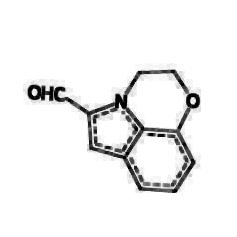 O=Cc1cc2cccc3c2n1CCO3